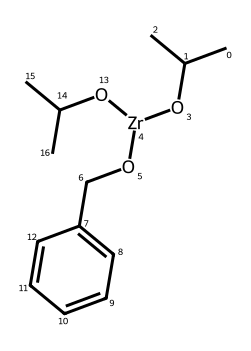 CC(C)[O][Zr]([O]Cc1ccccc1)[O]C(C)C